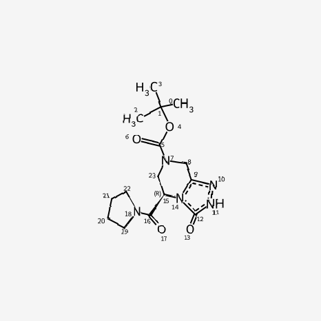 CC(C)(C)OC(=O)N1Cc2n[nH]c(=O)n2[C@@H](C(=O)N2CCCC2)C1